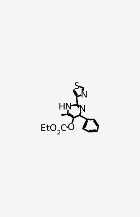 CCOC(=O)OC1=C(C)NC(c2cscn2)=NC1c1ccccc1